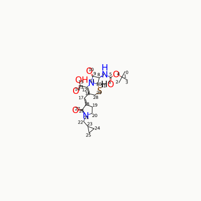 CC(C)(C)OC(=O)N[C@@H]1C(=O)N2C(C(=O)O)=C(C=C3CCN(CC4CC4)C3=O)CS[C@H]12